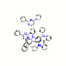 c1ccc(-c2ccc3c(c2)c2ccccc2n3-c2ccc(-c3cc(-c4ccccc4)nc(-c4ccccc4)n3)cc2-c2nc(-c3ccccc3)cc(-c3cccc(-c4cccc(N5c6ccccc6B6c7ccccc7N(c7ccccc7)c7cccc5c76)c4)c3)n2)cc1